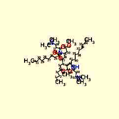 CCCCCCCCCC(CC(=O)OC)N(CCCN(C)C)S(=O)(=O)CCCCCCCC.CCCCCCCCCC(CC(=O)OC)NCCCN(C)C